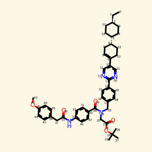 CC[C@H]1CC[C@H](C2CC=C(c3cnc(-c4ccc(CN(CC(=O)OC(C)(C)C)C(=O)c5ccc(NC(=O)Cc6ccc(OC)cc6)cc5)cc4)nc3)CC2)CC1